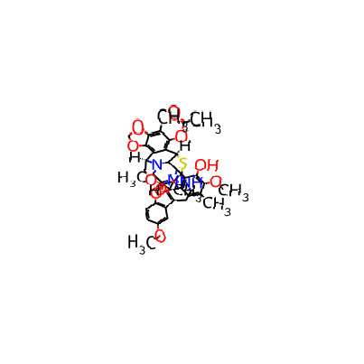 COc1ccc2oc3c(c2c1)CCN[C@]31CS[C@@H]2c3c(OC(C)=O)c(C)c4c(c3[C@H](COC1=O)N1C2C2c3c(cc(C)c(OC)c3O)C[C@H]([C@@H]1C)N2C)OCO4